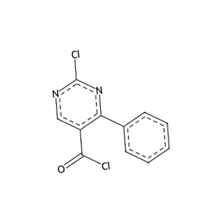 O=C(Cl)c1cnc(Cl)nc1-c1ccccc1